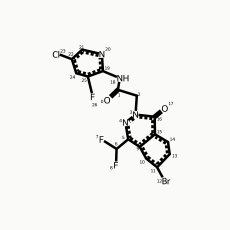 O=C(Cn1nc(C(F)F)c2cc(Br)ccc2c1=O)Nc1ncc(Cl)cc1F